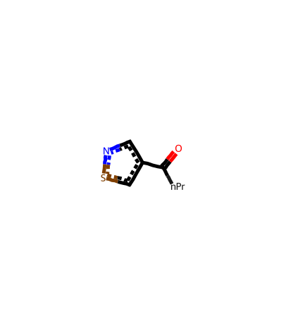 CCCC(=O)c1cnsc1